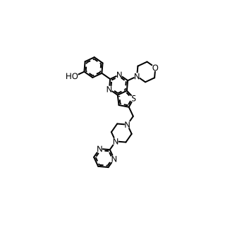 Oc1cccc(-c2nc(N3CCOCC3)c3sc(CN4CCN(c5ncccn5)CC4)cc3n2)c1